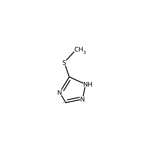 CSc1n[c]n[nH]1